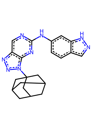 c1cc2cn[nH]c2cc1Nc1ncc2nnn(C34CC5CC(CC(C5)C3)C4)c2n1